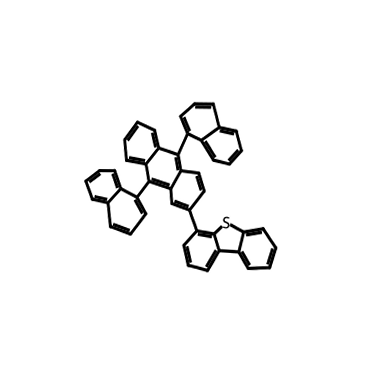 c1ccc2c(-c3c4ccccc4c(-c4cccc5ccccc45)c4cc(-c5cccc6c5sc5ccccc56)ccc34)cccc2c1